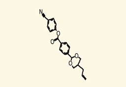 C=CCC1COC(c2ccc(C(=O)Oc3ccc(C#N)cc3)cc2)OC1